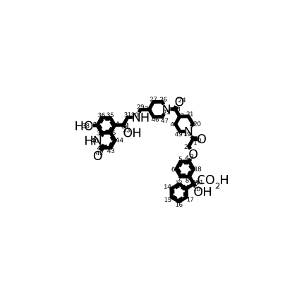 O=C(COc1cccc([C@](O)(C(=O)O)c2ccccc2)c1)N1CCC(C(=O)N2CCC(CNC[C@H](O)c3ccc(O)c4[nH]c(=O)ccc34)CC2)CC1